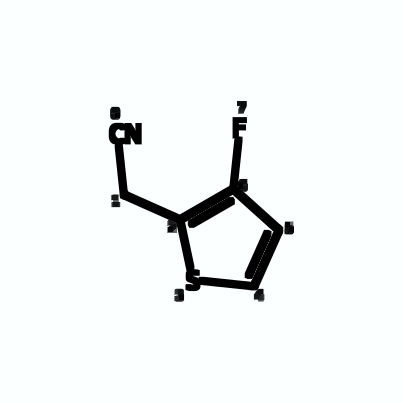 N#CCc1sccc1F